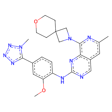 COc1cc(-c2nnnn2C)ccc1Nc1ncc2cc(C)nc(N3CC4(CCOCC4)C3)c2n1